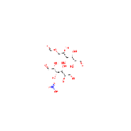 O=COC[C@@H](O)[C@@H](O)[C@H](O)[C@@H](O)C=O.O=C[C@H](O)[C@@H](O)[C@H](O)[C@H](O)CO.O=[N+]([O-])O